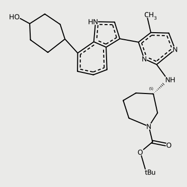 Cc1cnc(N[C@H]2CCCN(C(=O)OC(C)(C)C)C2)nc1-c1c[nH]c2c(C3CCC(O)CC3)cccc12